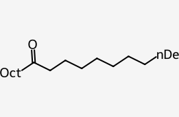 CCCCCCCCCCCCCCCCCC(=O)CCCCCCCC